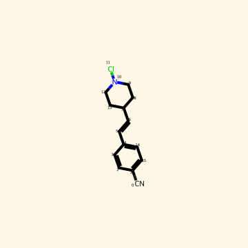 N#Cc1ccc(/C=C/C2CCN(Cl)CC2)cc1